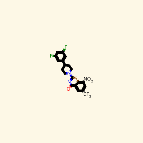 O=c1nc(N2CCC(c3cc(F)cc(F)c3)CC2)sc2c([N+](=O)[O-])cc(C(F)(F)F)cc12